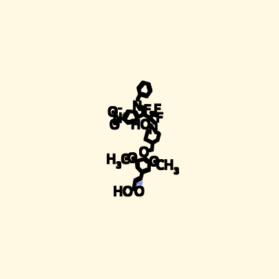 COc1cc(/C=C/C(=O)O)cc(OC)c1OCC1CCN(CC(O)(c2cn(Cc3ccccc3)c3cc([N+](=O)[O-])ccc23)C(F)(F)F)CC1